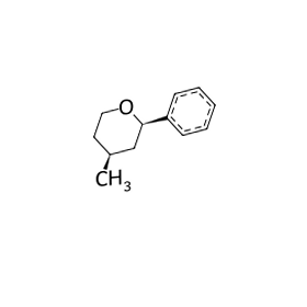 C[C@H]1CCO[C@@H](c2ccccc2)C1